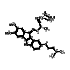 C#C[C@H](C)ON=C1c2cc(OC)c(OC)cc2-c2[nH]c3ccc(OCCN(C)C)cc3c21.CS(=O)(=O)O.CS(=O)(=O)O